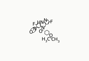 CC(C)O[C@H]1CC[C@H](C(=O)N2Cc3cc(F)cnc3Nc3cc(F)c(N4C5CCC4COC5)cc32)CC1